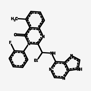 CCC(Nc1ncnc2[nH]cnc12)c1nc2cccc(C)c2c(=O)n1-c1ccccc1F